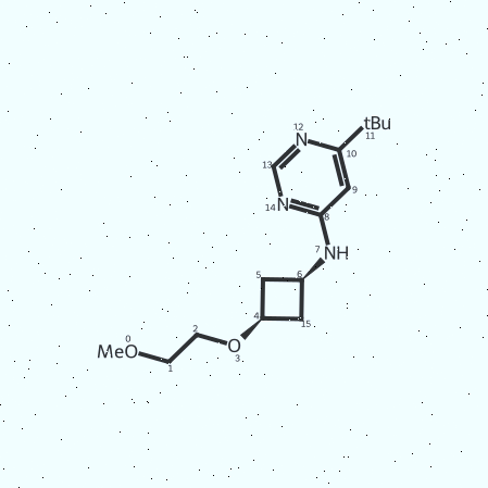 COCCO[C@H]1C[C@@H](Nc2cc(C(C)(C)C)ncn2)C1